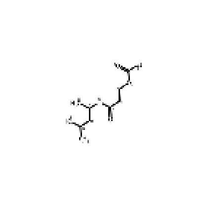 CCC(=O)OCCC(=O)OC(C)CC(C)O